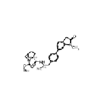 CN1C(=O)Cc2ccc(-c3ccc(C[C@@H](C#N)NC(=O)[C@]45CCC(CN4C(=O)OC(C)(C)C)C5)cc3)cc21